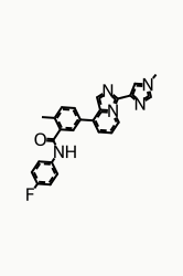 Cc1ccc(-c2cccn3c(-c4cn(C)cn4)ncc23)cc1C(=O)Nc1ccc(F)cc1